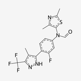 Cc1nc(C)c(N(C=O)c2ccc(-c3[nH]nc(C(F)(F)F)c3C)c(F)c2)s1